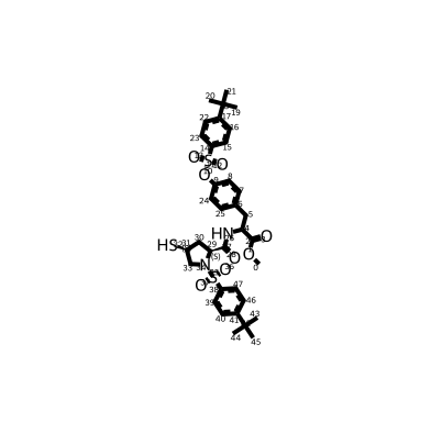 COC(=O)C(Cc1ccc(OS(=O)(=O)c2ccc(C(C)(C)C)cc2)cc1)NC(=O)[C@@H]1C[C@H](S)CN1S(=O)(=O)c1ccc(C(C)(C)C)cc1